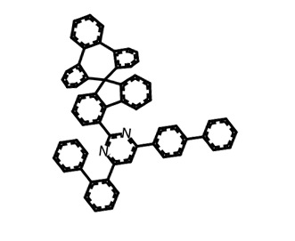 c1ccc(-c2ccc(-c3cc(-c4ccccc4-c4ccccc4)nc(-c4cccc5c4-c4ccccc4C54c5ccccc5-c5ccccc5-c5ccccc54)n3)cc2)cc1